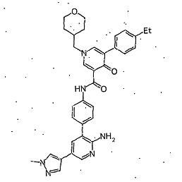 CCc1ccc(-c2cn(CC3CCOCC3)cc(C(=O)Nc3ccc(-c4cc(-c5cnn(C)c5)cnc4N)cc3)c2=O)cc1